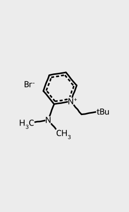 CN(C)c1cccc[n+]1CC(C)(C)C.[Br-]